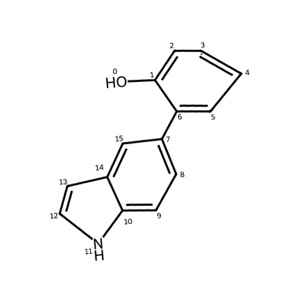 Oc1c[c]ccc1-c1ccc2[nH]ccc2c1